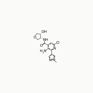 Cn1cc(-c2nc(Cl)cc(C(=O)N[C@@H]3COC[C@@H]3O)c2N)cn1